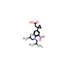 CC(C)CN(CC(C)C)c1ccc(C2(CC(=O)O)CC2)cc1[N+](=O)[O-]